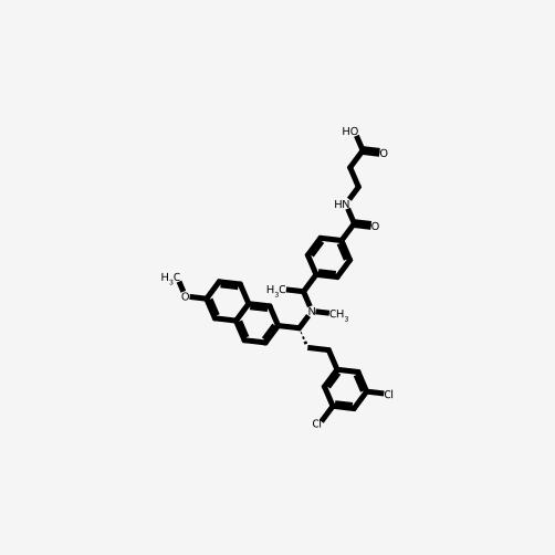 COc1ccc2cc([C@@H](CCc3cc(Cl)cc(Cl)c3)N(C)C(C)c3ccc(C(=O)NCCC(=O)O)cc3)ccc2c1